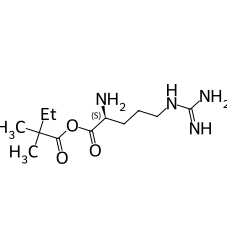 CCC(C)(C)C(=O)OC(=O)[C@@H](N)CCCNC(=N)N